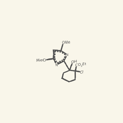 CCOC(=O)C1(Cl)CCCCC1(O)c1nc(OC)cc(OC)n1